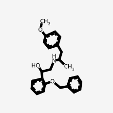 COc1ccc(CC(C)NCC(O)c2ccccc2OCc2ccccc2)cc1